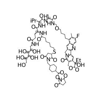 CC[C@@]1(O)C(=O)OCc2c1cc1n(c2=O)Cc2cc3c(CCCCOCNC(=O)[C@H](C)NC(=O)[C@@H](NC(=O)[C@H](CCC(=O)NC[C@H](O)[C@@H](O)[C@H](O)[C@H](O)CO)NC(=O)CCCCCSC4CC(=O)N(CC5CCC(C(=O)ON6C(=O)CCC6=O)CC5)C4=O)C(C)C)c(C)c(F)cc3nc2-1